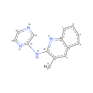 Cc1cc2ccccc2nc1Nc1cnccn1